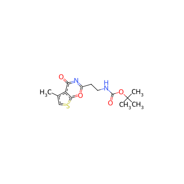 Cc1csc2oc(CCNC(=O)OC(C)(C)C)nc(=O)c12